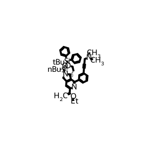 C=C(OCC)c1cc2c(c(-c3cccc(C#CCN(C)C)c3)n1)[C@@H](CCO[Si](c1ccccc1)(c1ccccc1)C(C)(C)C)N([S@@+]([O-])CCCC)C2